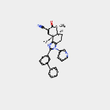 C[C@H]1C(=O)C(C#N)=C[C@@]2(C)c3nc(-c4cccc(-c5ccccc5)c4)n(-c4cccnc4)c3CC[C@H]12